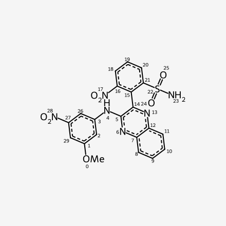 COc1cc(Nc2nc3ccccc3nc2-c2c([N+](=O)[O-])cccc2S(N)(=O)=O)cc([N+](=O)[O-])c1